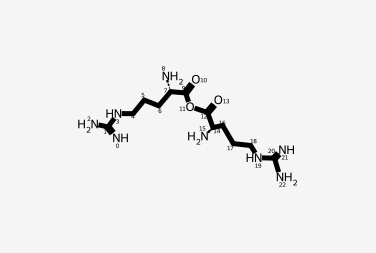 N=C(N)NCCC[C@H](N)C(=O)OC(=O)[C@@H](N)CCCNC(=N)N